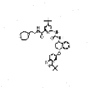 CC(C)(C)c1cc(NC(=O)N[C@H]2CC[C@@H](Oc3ccc4nnc(C(C)(C)C)n4c3)c3ccccc32)nc(C(=O)NCCN2CCCOCC2)c1